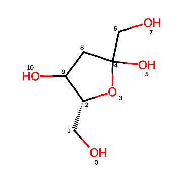 OC[C@H]1OC(O)(CO)CC1O